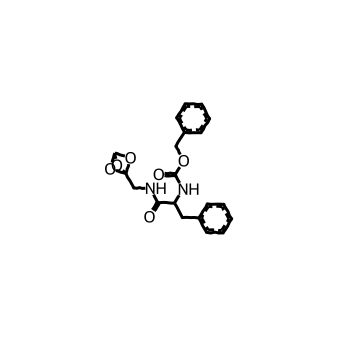 O=C(NC(Cc1ccccc1)C(=O)NCC12OC(O1)O2)OCc1ccccc1